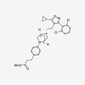 COC(=O)CCc1ccc(N2C[C@@H]3C[C@H]2C[C@H]3CCc2c(-c3c(Cl)cccc3Cl)noc2C2CC2)cc1